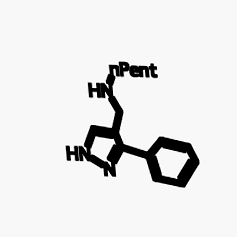 CCCCCNCc1c[nH]nc1-c1ccccc1